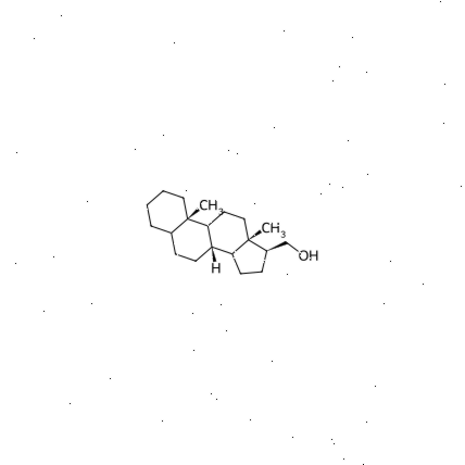 C[C@]12CCCCC1CC[C@@H]1C2CC[C@@]2(C)C1CC[C@@H]2CO